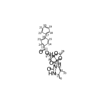 C=C1NC(=O)N([C@@H]2O[C@H](COC(=O)c3ccc(-c4ccccc4)cc3)[C@H]3OC(C)O[C@H]32)C=C1C